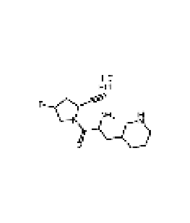 Cl.Cl.N#CC1CC(F)CN1C(=O)C(N)CC1CCCNC1